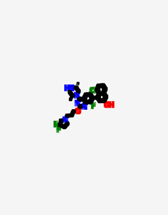 C[C@@H]1CN(c2nc(OCCCN3CCC(F)(F)C3)nc3c(F)c(-c4cc(O)cc5ccccc45)c(Cl)cc23)[C@@H](C)CN1